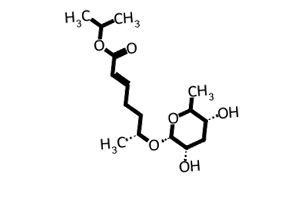 CC(C)OC(=O)/C=C/CC[C@@H](C)O[C@@H]1OC(C)[C@H](O)C[C@@H]1O